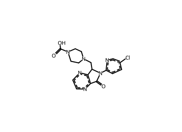 O=C(O)N1CCN(CC2c3nccnc3C(=O)N2c2ccc(Cl)cn2)CC1